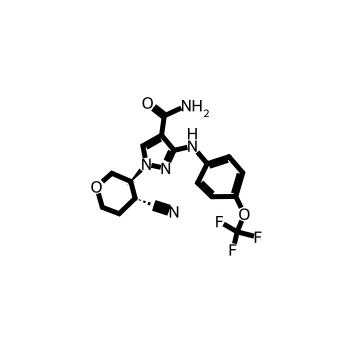 N#C[C@@H]1CCOC[C@H]1n1cc(C(N)=O)c(Nc2ccc(OC(F)(F)F)cc2)n1